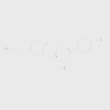 C[C@@H]1CN(c2ccc(C(F)(F)F)cc2)C[C@H](C)N1Cc1cccc(CC(=O)O)c1